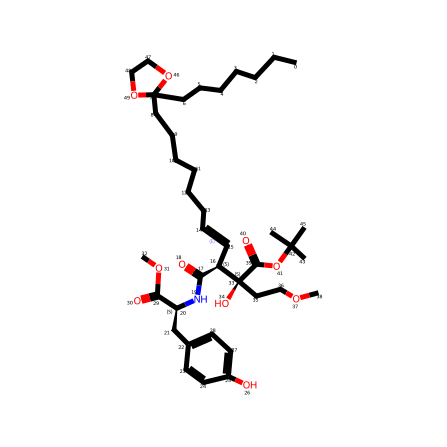 CCCCCCCC1(CCCCCC/C=C/[C@H](C(=O)N[C@@H](Cc2ccc(O)cc2)C(=O)OC)[C@@](O)(CCOC)C(=O)OC(C)(C)C)OCCO1